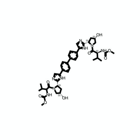 COC(=O)NC(C(=O)N1C[C@@H](O)C[C@H]1c1ncc(-c2ccc(-c3ccc(-c4cnc([C@@H]5C[C@H](O)CN5C(=O)[C@@H](NC(=O)OC)C(C)C)[nH]4)cc3)cc2)[nH]1)C(C)C